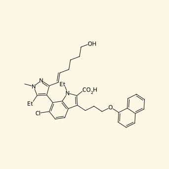 CCc1c(-c2c(Cl)ccc3c(CCCOc4cccc5ccccc45)c(C(=O)O)n(CC)c23)c(/C=C/CCCCO)nn1C